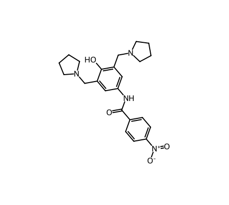 O=C(Nc1cc(CN2CCCC2)c(O)c(CN2CCCC2)c1)c1ccc([N+](=O)[O-])cc1